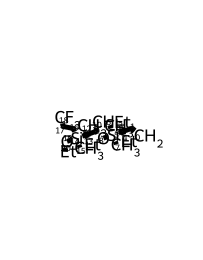 C=CC(CC)(CC)[Si](C)(C)OC(C)C(C)(CC)[Si](C)(CCC(F)(F)F)OCC